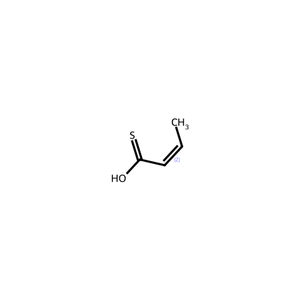 C/C=C\C(O)=S